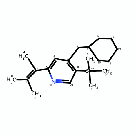 CC(C)=C(C)c1cc(CC2CCCCC2)c([Si](C)(C)C)cn1